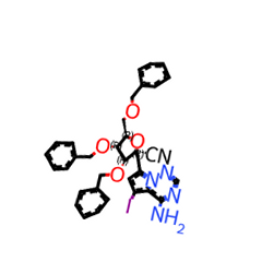 N#C[C@@]1(c2cc(I)c3c(N)ncnn23)O[C@H](COCc2ccccc2)[C@@H](OCc2ccccc2)[C@H]1OCc1ccccc1